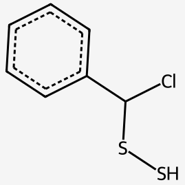 SSC(Cl)c1ccccc1